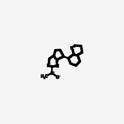 C[S+]([O-])c1ncc2ccc(-c3cccc4cccnc34)n2n1